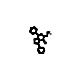 O=c1c2c(-c3ccncc3)csc2c(-c2ccncc2)nn1CC(F)(F)F